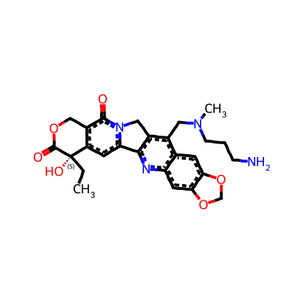 CC[C@@]1(O)C(=O)OCc2c1cc1n(c2=O)Cc2c-1nc1cc3c(cc1c2CN(C)CCCN)OCO3